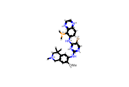 COc1cc2c(cc1Nc1ncc(Br)c(Nc3ccc4nccnc4c3P(C)C)n1)C(C)(C)CN(C)C2